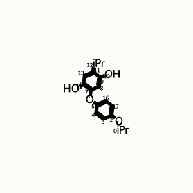 CC(C)Oc1ccc(Oc2cc(O)c(C(C)C)cc2O)cc1